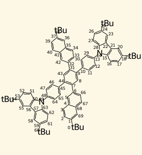 CC(C)(C)c1ccc2cc(-c3cc(-c4ccc(-n5c6ccc(C(C)(C)C)cc6c6cc(C(C)(C)C)ccc65)cc4)c(-c4ccc5cc(C(C)(C)C)ccc5c4)cc3-c3ccc(-n4c5ccc(C(C)(C)C)cc5c5cc(C(C)(C)C)ccc54)cc3)ccc2c1